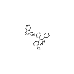 Clc1cccc2c(-c3cccc(NCc4csc5ccccc45)c3)c(-c3ccccc3)nnc12